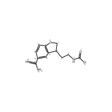 CCC(=O)NCCC1COc2ccc(C(=N)N)cc21